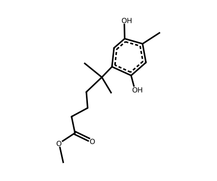 COC(=O)CCCC(C)(C)c1cc(O)c(C)cc1O